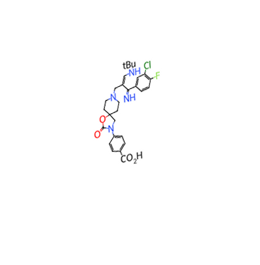 CC(C)(C)N/C=C(/CN1CCC2(CC1)CN(c1ccc(C(=O)O)cc1)C(=O)O2)C(=N)c1ccc(F)c(Cl)c1